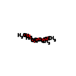 CN1CCN(c2ccc(CNCCCOc3ccc4nc(-c5ccc(OCCCN(C)Cc6ccc(N7CCN(C)CC7)cc6)cc5)oc4c3)cc2)CC1